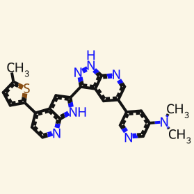 Cc1ccc(-c2ccnc3[nH]c(-c4n[nH]c5ncc(-c6cncc(N(C)C)c6)cc45)cc23)s1